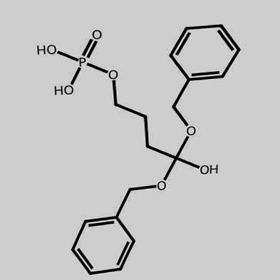 O=P(O)(O)OCCCC(O)(OCc1ccccc1)OCc1ccccc1